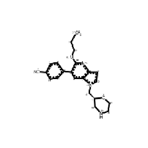 N#Cc1ccc(-c2cc3c(ccn3C[C@@H]3CNCCO3)nc2OCCC(F)(F)F)cc1